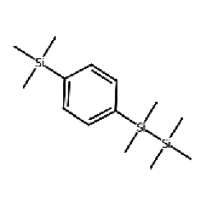 C[Si](C)(C)c1ccc([Si](C)(C)[Si](C)(C)C)cc1